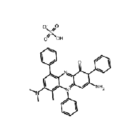 Cc1c(N(C)C)cc(-c2ccccc2)c2nc3c([n+](-c4ccccc4)c12)C=C(N)C(c1ccccc1)C3=O.O=S(=O)([O-])O